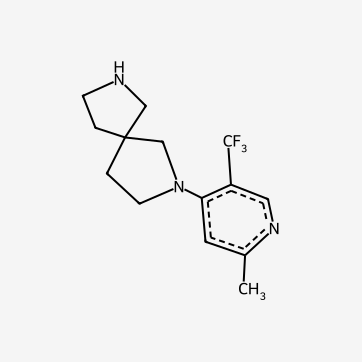 Cc1cc(N2CCC3(CCNC3)C2)c(C(F)(F)F)cn1